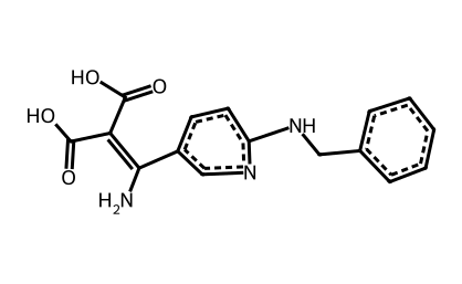 NC(=C(C(=O)O)C(=O)O)c1ccc(NCc2ccccc2)nc1